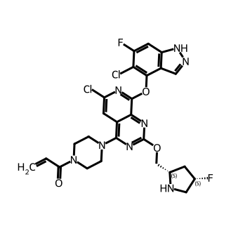 C=CC(=O)N1CCN(c2nc(OC[C@@H]3C[C@H](F)CN3)nc3c(Oc4c(Cl)c(F)cc5[nH]ncc45)nc(Cl)cc23)CC1